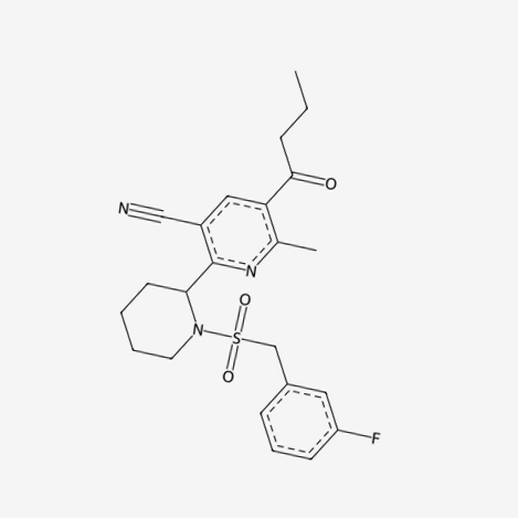 CCCC(=O)c1cc(C#N)c(C2CCCCN2S(=O)(=O)Cc2cccc(F)c2)nc1C